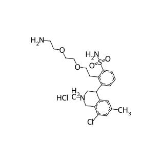 Cc1cc(Cl)c2c(c1)C(c1cccc(S(N)(=O)=O)c1CCOCCOCCN)CN(C)C2.Cl